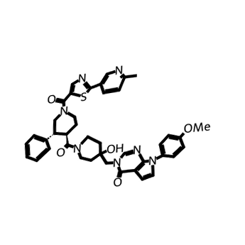 COc1ccc(-n2ccc3c(=O)n(CC4(O)CCN(C(=O)[C@@H]5CCN(C(=O)c6cnc(-c7ccc(C)nc7)s6)C[C@H]5c5ccccc5)CC4)cnc32)cc1